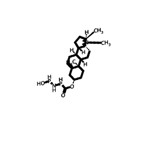 C[C@H]1[C@H]2CC[C@H]3[C@@H]4CC=C5C[C@@H](OC(=O)PNPO)CC[C@]5(C)[C@H]4CC[C@]23CN1C